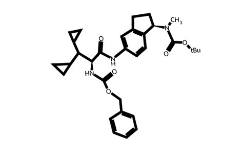 CN(C(=O)OC(C)(C)C)[C@@H]1CCc2cc(NC(=O)[C@@H](NC(=O)OCc3ccccc3)C(C3CC3)C3CC3)ccc21